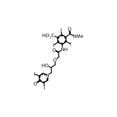 CNC(=O)c1c(I)c(NC(=O)COCC(O)Cn2cc(I)c(=O)c(I)c2)c(I)c(C(=O)O)c1I